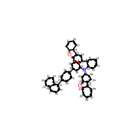 C1=CC2Oc3ccc(-c4ccccc4N(c4cccc(-c5ccc(-c6cccc7ccccc67)cc5)c4)c4ccc5c(c4)oc4ccccc45)cc3C2C=C1